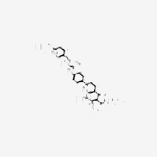 CCn1c(N)c(C(=O)NC)c(=O)c2ccc(-c3ccc(NC(=O)NCc4ccc(N)nc4)cc3)nc21